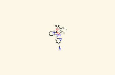 CC(C)(C)OC(=O)N1C2CCC1C(Nc1ccc(C#N)cn1)C2